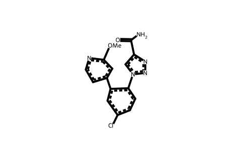 COc1cc(-c2cc(Cl)ccc2-n2cc(C(N)=O)nn2)ccn1